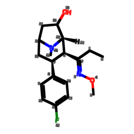 CCC(=NOC)[C@H]1[C@@H](c2ccc(F)cc2)CC2CC(O)[C@H]1N2C